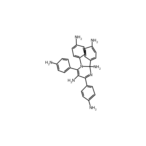 NC1=C(c2ccc(N)cc2)N(c2ccc(N)cc2)C(N)(c2ccc(N)cc2)N=C1c1ccc(N)cc1